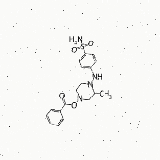 CC1CN(OC(=O)c2ccccc2)CCN1Nc1ccc(S(N)(=O)=O)cc1